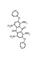 Nc1cc(Oc2ccccc2)c(N)c2c1C(=O)c1c(N)cc(Oc3ccccc3)c(N)c1C2=O